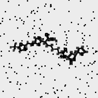 CC(C)(C)c1cnc(CSc2cnc(C(CCCCCC(=O)Nc3cc(-c4cccs4)n[nH]3)C(N)=O)s2)o1